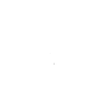 CCc1ccc(Cc2nc(CC)c(C3CCNCC3)s2)cc1